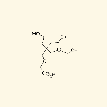 O=C(O)COCC(CCO)(CCO)COCO